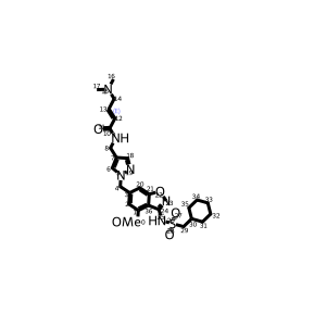 COc1cc(Cn2cc(CNC(=O)/C=C/CN(C)C)cn2)cc2onc(NS(=O)(=O)CC3CCCCC3)c12